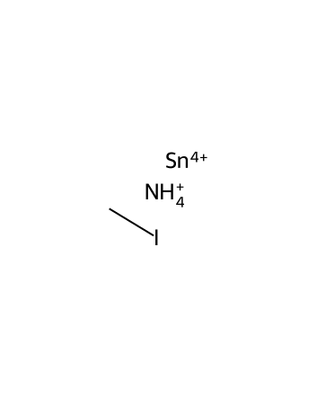 CI.[NH4+].[Sn+4]